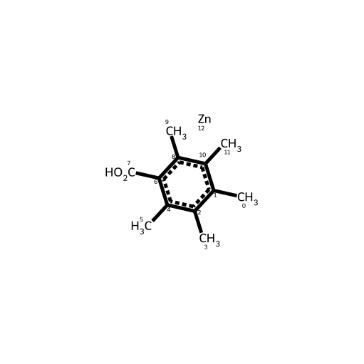 Cc1c(C)c(C)c(C(=O)O)c(C)c1C.[Zn]